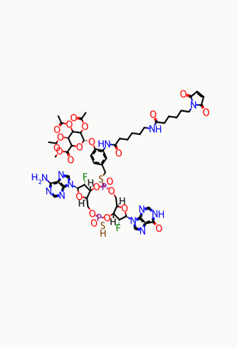 COC(=O)C1O[C@@H](Oc2ccc(CSP3(=O)OC[C@H]4O[C@@H](n5cnc6c(=O)[nH]cnc65)[C@H](F)[C@@H]4OP(=O)(S)OC[C@H]4O[C@@H](n5cnc6c(N)ncnc65)[C@H](F)[C@@H]4O3)cc2NC(=O)CCCCCNC(=O)CCCCCN2C(=O)C=CC2=O)C(OC(C)=O)C(OC(C)=O)[C@@H]1OC(C)=O